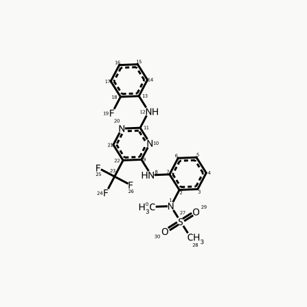 CN(c1ccccc1Nc1nc(Nc2ccccc2F)ncc1C(F)(F)F)S(C)(=O)=O